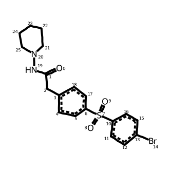 O=C(Cc1ccc(S(=O)(=O)c2ccc(Br)cc2)cc1)NN1CCCCC1